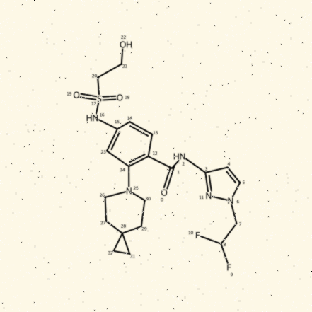 O=C(Nc1ccn(CC(F)F)n1)c1ccc(NS(=O)(=O)CCO)cc1N1CCC2(CC1)CC2